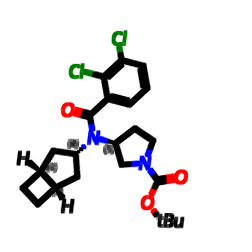 CC(C)(C)OC(=O)N1CC[C@H](N(C(=O)c2cccc(Cl)c2Cl)[C@H]2C[C@H]3CC[C@H]3C2)C1